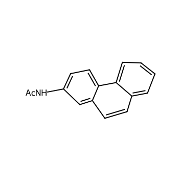 CC(=O)Nc1ccc2c(ccc3ccccc32)c1